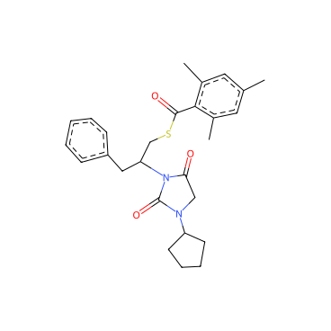 Cc1cc(C)c(C(=O)SCC(Cc2ccccc2)N2C(=O)CN(C3CCCC3)C2=O)c(C)c1